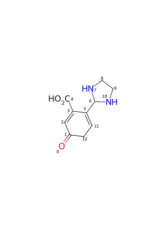 O=C1C=C(C(=O)O)C(C2NCCN2)=CC1